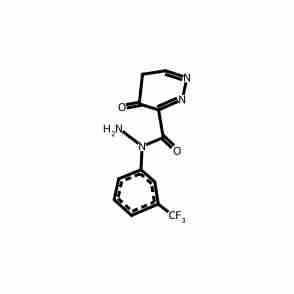 NN(C(=O)C1=NN=CCC1=O)c1cccc(C(F)(F)F)c1